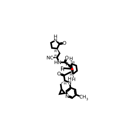 Cc1cncc(N[C@H](CC2CC2)C(=O)N2[C@@H]3CC[C@H]([C@@H]2C(=O)N[C@@H](C#N)C[C@H]2CCNC2=O)C(F)(F)C3)c1